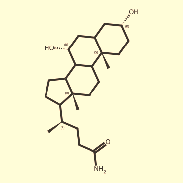 C[C@H](CCC(N)=O)C1CCC2C3C(CC[C@@]21C)[C@@]1(C)CC[C@@H](O)CC1C[C@H]3O